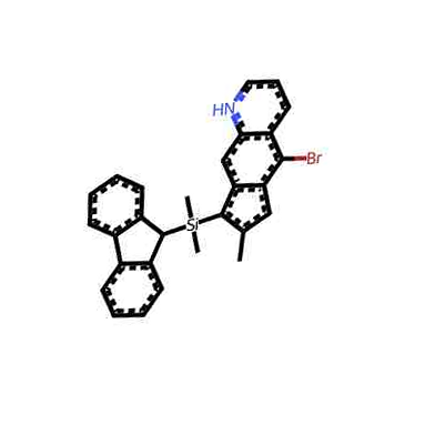 Cc1cc2c(Br)c3ccc[nH]c3cc2c1[Si](C)(C)C1c2ccccc2-c2ccccc21